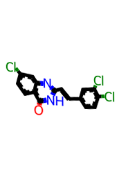 O=c1[nH]c(C=Cc2ccc(Cl)c(Cl)c2)nc2cc(Cl)ccc12